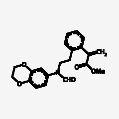 C=C(C(=O)OC)c1ccccc1CCN(C=O)c1ccc2c(c1)OCCO2